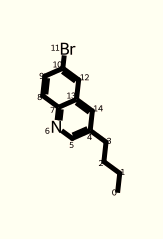 CCCCc1cnc2ccc(Br)cc2c1